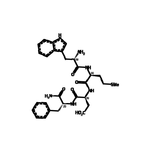 CSCC[C@H](NC(=O)[C@@H](N)Cc1c[nH]c2ccccc12)C(=O)N[C@@H](CC(=O)O)C(=O)N[C@H](Cc1ccccc1)C(N)=O